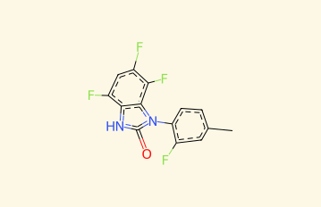 Cc1ccc(-n2c(=O)[nH]c3c(F)cc(F)c(F)c32)c(F)c1